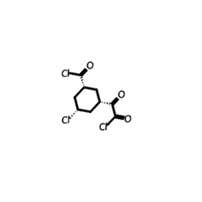 O=C(Cl)C(=O)[C@@H]1C[C@H](Cl)C[C@H](C(=O)Cl)C1